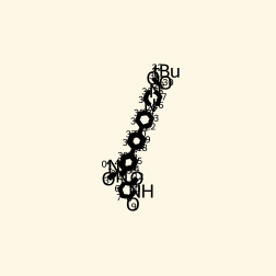 Cn1c(=O)n(C2CCC(=O)NC2=O)c2ccc(-c3ccc(C4CCC(N5CCN(C(=O)OC(C)(C)C)CC5)CC4)cc3)cc21